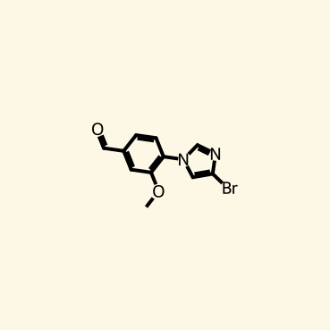 COc1cc(C=O)ccc1-n1cnc(Br)c1